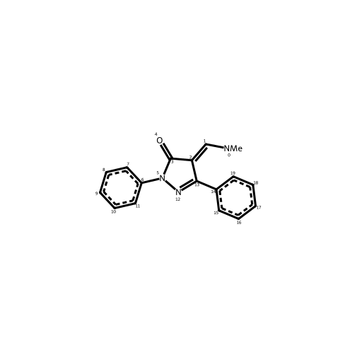 CN/C=C1/C(=O)N(c2ccccc2)N=C1c1ccccc1